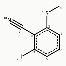 CSc1cccc(I)c1C#N